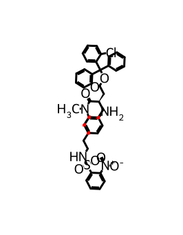 CN(C(=O)[C@@H](CC(=O)OC(c1ccccc1)(c1ccccc1)c1ccccc1Cl)Cc1ccccc1)[C@H](CN)CCCCNS(=O)(=O)c1ccccc1[N+](=O)[O-]